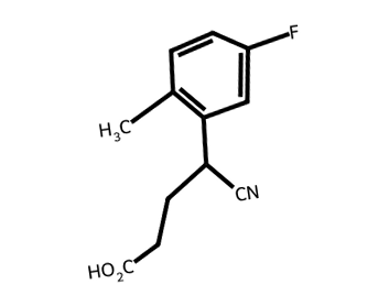 Cc1ccc(F)cc1C(C#N)CCC(=O)O